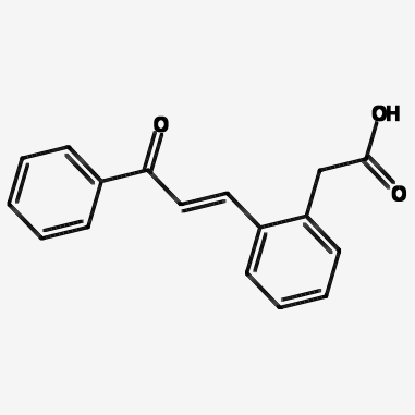 O=C(O)Cc1ccccc1C=CC(=O)c1ccccc1